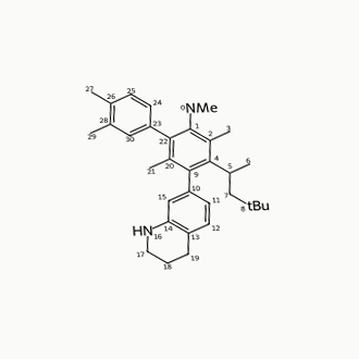 CNc1c(C)c(C(C)CC(C)(C)C)c(-c2ccc3c(c2)NCCC3)c(C)c1-c1ccc(C)c(C)c1